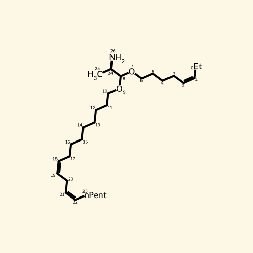 CC/C=C\CCCCOC(OCCCCCCCC/C=C\C/C=C\CCCCC)C(C)N